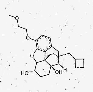 COCCOc1ccc2c3c1OC1[C@@H](O)CC[C@@]4(O)[C@@H](C2)N(CC2CCC2)CC[C@]314